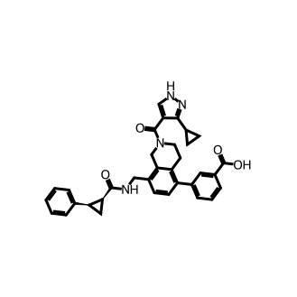 O=C(O)c1cccc(-c2ccc(CNC(=O)[C@H]3C[C@H]3c3ccccc3)c3c2CCN(C(=O)c2c[nH]nc2C2CC2)C3)c1